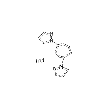 Cl.c1cc(-n2cccn2)cc(-n2cccn2)c1